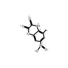 Cc1cc([N+](=O)[O-])cc2oc(=O)c(=O)[nH]c12